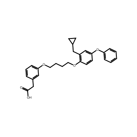 O=C(O)Cc1cccc(OCCCCOc2ccc(Oc3ccccc3)cc2CC2CC2)c1